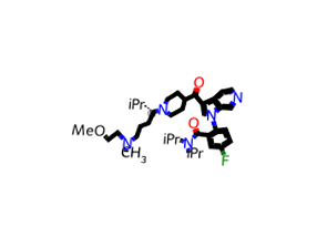 COCCN(C)CCC[C@H](C(C)C)N1CCC(C(=O)c2cn(-c3ccc(F)cc3C(=O)N(C(C)C)C(C)C)c3cnccc23)CC1